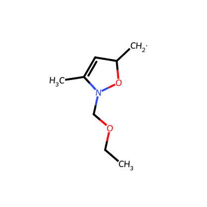 [CH2]C1C=C(C)N(COCC)O1